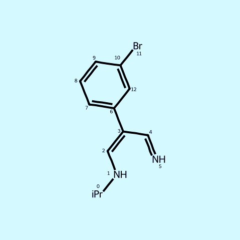 CC(C)N/C=C(\C=N)c1cccc(Br)c1